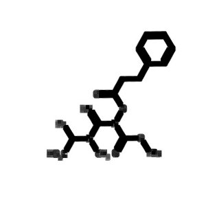 CCCCOC(=O)N(OC(=O)CCc1ccccc1)C(=N)N(C)C(C(=O)O)C(C)C